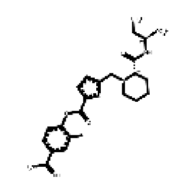 N=C(N)c1ccc(OC(=O)c2ccc(CN3CCCC[C@H]3C(=O)N[C@@H](CC(=O)O)C(=O)O)s2)c(F)c1